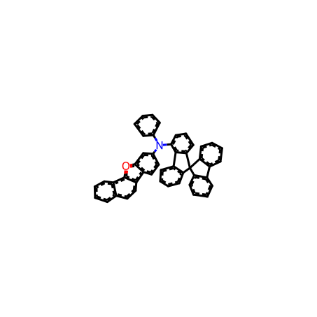 c1ccc(N(c2ccc3c(c2)oc2c4ccccc4ccc32)c2cccc3c2-c2ccccc2C32c3ccccc3-c3ccccc32)cc1